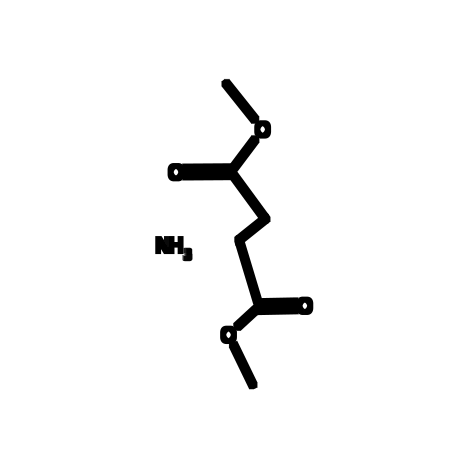 COC(=O)CCC(=O)OC.N